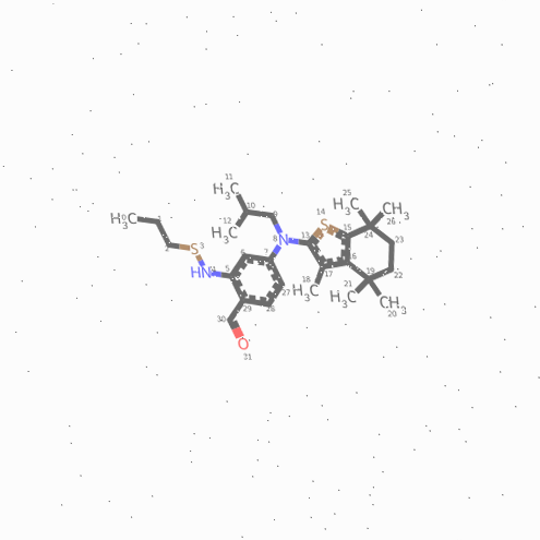 CCCSNc1cc(N(CC(C)C)c2sc3c(c2C)C(C)(C)CCC3(C)C)ccc1C=O